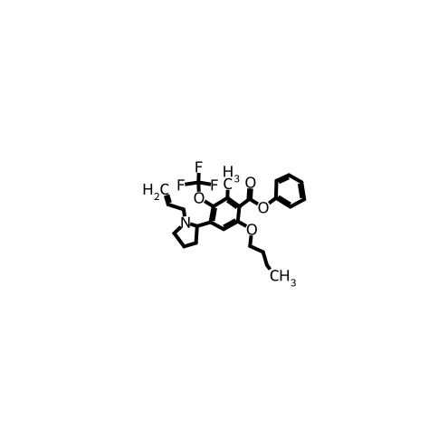 C=CCN1CCCC1c1cc(OCCCC)c(C(=O)Oc2ccccc2)c(C)c1OC(F)(F)F